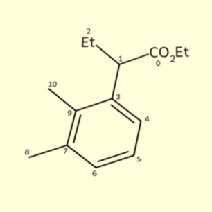 CCOC(=O)C(CC)c1cccc(C)c1C